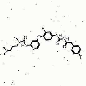 CN(C)CCCN(C)C(=O)Nc1cc(Oc2ccc(NC(=S)NC(=O)Cc3ccc(F)cc3)cc2F)ccn1